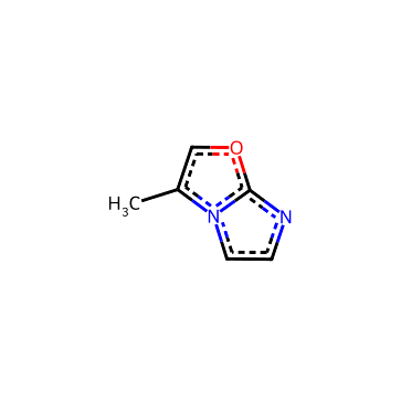 Cc1coc2nccn12